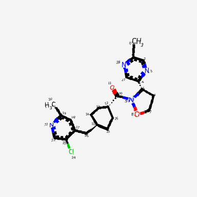 Cc1cnc([C@@H]2CCON2C(=O)[C@H]2CC[C@H](Cc3cc(C)ncc3Cl)CC2)cn1